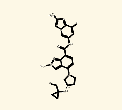 Cc1cn2cc(NC(=O)c3ccc(N4CC[C@H](NC5(CF)CC5)C4)c4cn(C)nc34)cc(F)c2n1